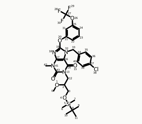 COC(CO[Si](C)(C)C(C)(C)C)Cn1c(=O)c2c(nc(Oc3cccc(OC(F)(F)F)c3)n2Cc2ccc(Cl)cc2)n(C)c1=O